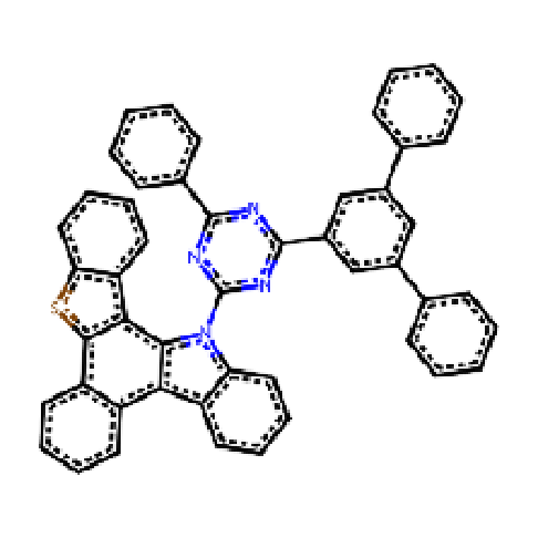 c1ccc(-c2cc(-c3ccccc3)cc(-c3nc(-c4ccccc4)nc(-n4c5ccccc5c5c6ccccc6c6sc7ccccc7c6c54)n3)c2)cc1